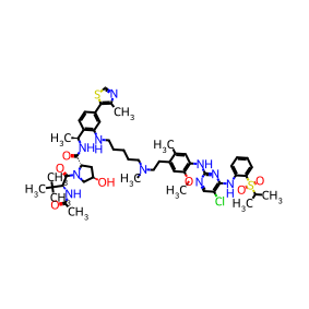 COc1cc(CCN(C)CCCCCNc2cc(-c3scnc3C)ccc2[C@H](C)NC(=O)[C@@H]2C[C@@H](O)CN2C(=O)[C@@H](NC(C)=O)C(C)(C)C)c(C)cc1Nc1ncc(Cl)c(Nc2ccccc2S(=O)(=O)C(C)C)n1